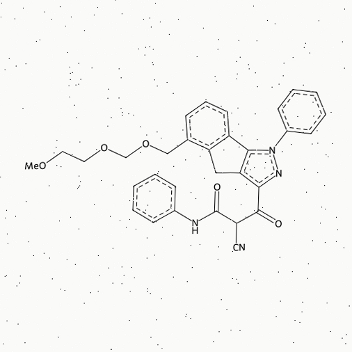 COCCOCOCc1cccc2c1Cc1c(C(=O)C(C#N)C(=O)Nc3ccccc3)nn(-c3ccccc3)c1-2